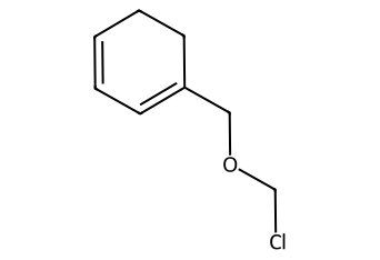 ClCOCC1=CC=CCC1